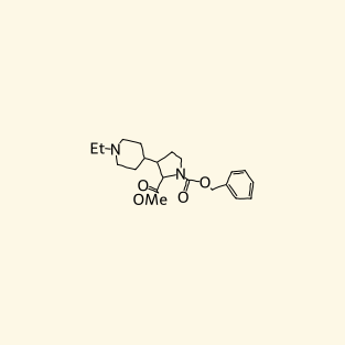 CCN1CCC(C2CCN(C(=O)OCc3ccccc3)C2C(=O)OC)CC1